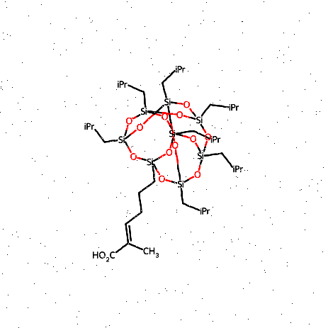 C/C(=C\CCC[Si]12O[Si]3(CC(C)C)O[Si]4(CC(C)C)O[Si](CC(C)C)(O1)O[Si]1(CC(C)C)O[Si](CC(C)C)(O2)O[Si](CC(C)C)(O3)O[Si](CC(C)C)(O4)O1)C(=O)O